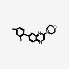 Cc1ccc(-c2ccc3ncc(N4CCOCC4)nc3c2)c(F)c1